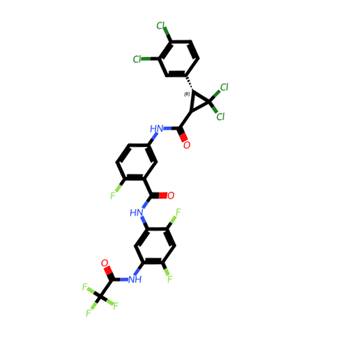 O=C(Nc1cc(NC(=O)C(F)(F)F)c(F)cc1F)c1cc(NC(=O)C2[C@H](c3ccc(Cl)c(Cl)c3)C2(Cl)Cl)ccc1F